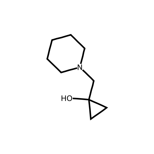 OC1(CN2CCCCC2)CC1